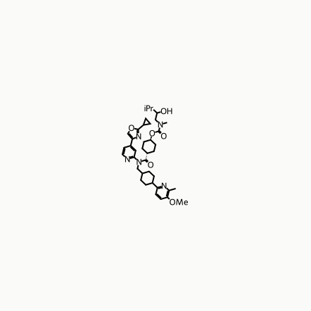 COc1ccc(C2CCC(CN(c3cc(-c4coc(C5CC5)n4)ccn3)C(=O)[C@H]3CC[C@H](OC(=O)N(C)CC(O)C(C)C)CC3)CC2)nc1C